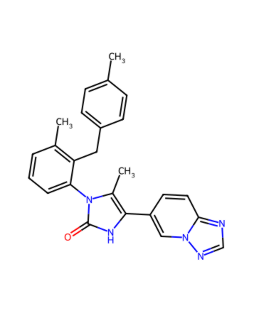 Cc1ccc(Cc2c(C)cccc2-n2c(C)c(-c3ccc4ncnn4c3)[nH]c2=O)cc1